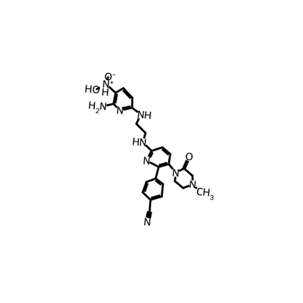 CN1CCN(c2ccc(NCCNc3ccc([NH+]([O-])O)c(N)n3)nc2-c2ccc(C#N)cc2)C(=O)C1